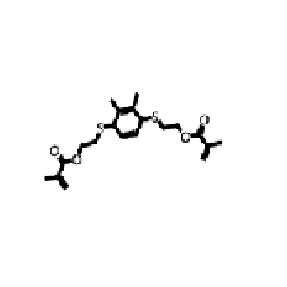 C=C(C)C(=O)OCCS[C]1C=C[C](SCCOC(=O)C(=C)C)C(C)=C1C